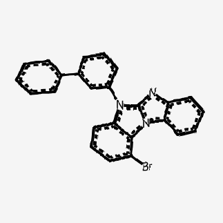 Brc1cccc2c1n1c3ccccc3nc1n2-c1cccc(-c2ccccc2)c1